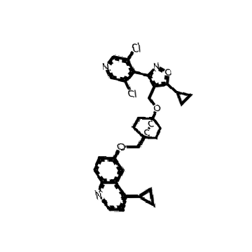 Clc1cncc(Cl)c1-c1noc(C2CC2)c1COC12CCC(COc3ccc4nccc(C5CC5)c4c3)(CC1)CC2